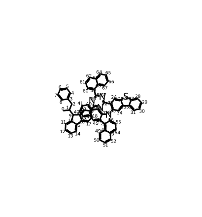 CC(Cc1ccccc1)C1c2ccccc2-c2ccc(-c3nc(-c4cc5sc6ccccc6c5cc4-n4c5cc6ccccc6cc5c5c6ccccc6ccc54)nc(-c4cccc5ccccc45)n3)cc21